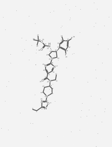 CCc1noc(N2CCC(N(CC)C(=O)c3cnc(N4C[C@H](NC(=O)OC(C)(C)C)[C@@H](c5cc(C)c(F)cc5F)C4)nc3)CC2)n1